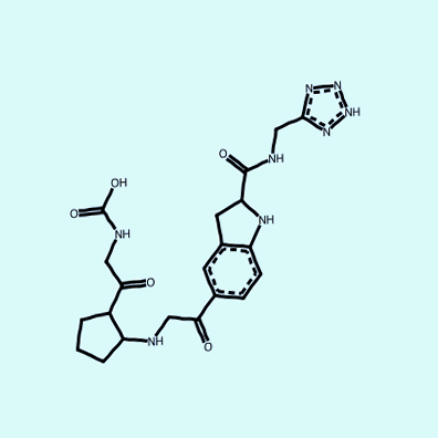 O=C(O)NCC(=O)C1CCCC1NCC(=O)c1ccc2c(c1)CC(C(=O)NCc1nn[nH]n1)N2